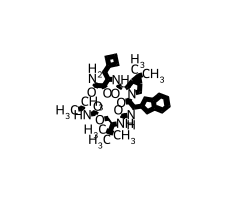 CC(C)NC(=O)OC[C@@H](NC(=O)N[C@H](C(=O)N1CC2C([C@H]1C(=O)NC(CC1CCC1)C(=O)C(N)=O)C2(C)C)C1Cc2ccccc2C1)C(C)(C)C